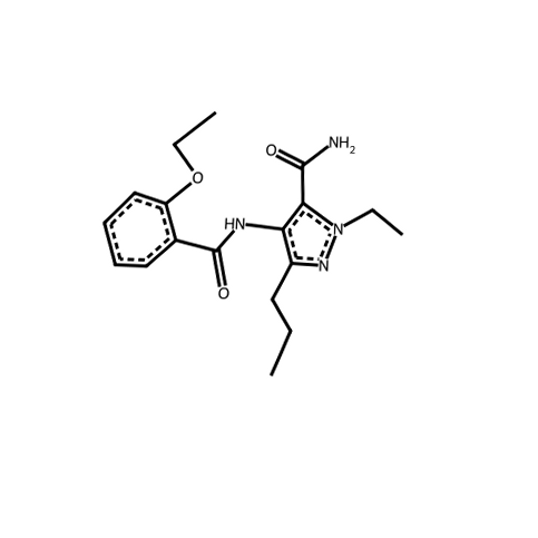 CCCc1nn(CC)c(C(N)=O)c1NC(=O)c1ccccc1OCC